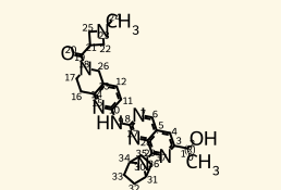 C[C@@H](O)c1cc2cnc(Nc3ccc4c(n3)CCN(C(=O)C3CN(C)C3)C4)nc2c(N2C3CCC2CC3)n1